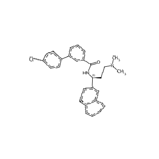 CN(C)CC[C@H](NC(=O)c1cccc(-c2ccc(Cl)cc2)c1)c1ccc2ccccc2c1